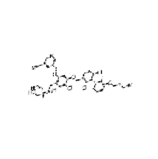 Cc1c(OCCCBr)cccc1-c1c(Cl)ccc(COc2cc(OCc3cncc(C#N)c3)c(C[AsH]C(C)(CO)CO)cc2Cl)c1Cl